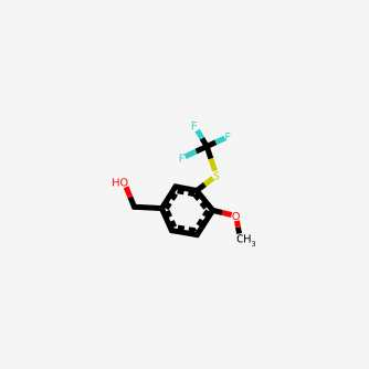 COc1ccc(CO)cc1SC(F)(F)F